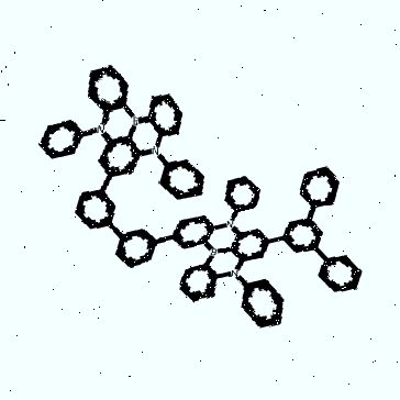 c1ccc(-c2cc(-c3ccccc3)cc(-c3cc4c5c(c3)N(c3ccccc3)c3ccc(-c6cccc(-c7cccc(-c8cc9c%10c(c8)N(c8ccccc8)c8ccccc8B%10c8ccccc8N9c8ccccc8)c7)c6)cc3B5c3ccccc3N4c3ccccc3)c2)cc1